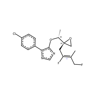 C/C(CF)=C(/F)C[C@]1([C@@H](C)Oc2ncnn2-c2ccc(Cl)cc2)CO1